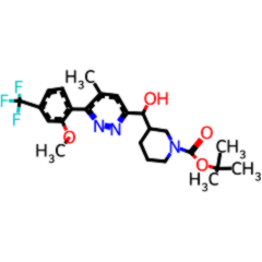 COc1cc(C(F)(F)F)ccc1-c1nnc(C(O)C2CCCN(C(=O)OC(C)(C)C)C2)cc1C